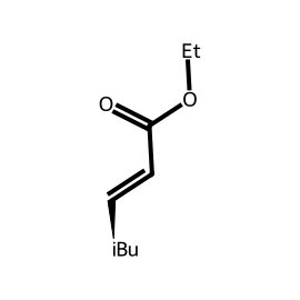 CCOC(=O)/C=C/[C@H](C)CC